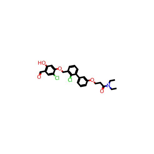 CCN(CC)C(=O)CCOc1cccc(-c2cccc(COc3cc(O)c(C=O)cc3Cl)c2Cl)c1